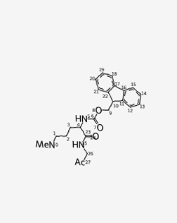 CNCCCC(NC(=O)OCC1c2ccccc2-c2ccccc21)C(=O)NCC(C)=O